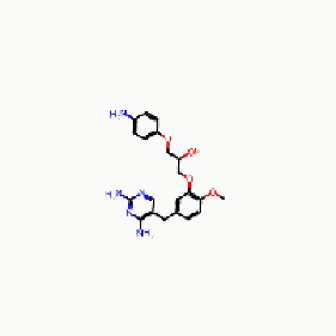 COc1ccc(Cc2cnc(N)nc2N)cc1OCC(O)COc1ccc(N)cc1